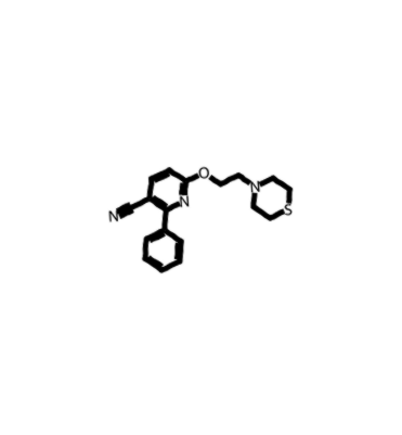 N#Cc1ccc(OCCN2CCSCC2)nc1-c1ccccc1